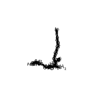 CCc1c2c(nc3ccc(OCCCNC(=O)OCc4ccc(NC(=O)[C@H](CCCCN)NC(=O)[C@H](CCc5ccccc5)NC(=O)CCOCCOCCOCCOCCOCCOCCOCCOCCOCCN=[N+]=[N-])cc4)cc13)-c1cc3c(c(=O)n1C2)COC(=O)[C@]3(O)CC